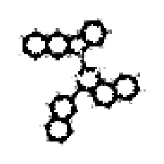 c1ccc2cc(-c3nc(-n4c5ccccc5c5cc6ccccc6cc54)nc4c3ccc3ccccc34)ccc2c1